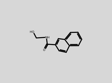 O=C(NCO)c1ccc2ccccc2c1